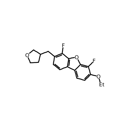 CCOc1ccc2c(oc3c(F)c(CC4CCOC4)ccc32)c1F